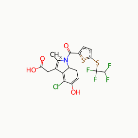 CC1=C(CC(=O)O)C2=C(Cl)C(O)=CCC2N1C(=O)c1ccc(SC(F)(F)C(F)F)s1